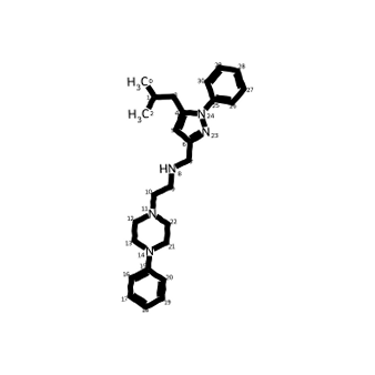 CC(C)Cc1cc(CNCCN2CCN(c3ccccc3)CC2)nn1-c1ccccc1